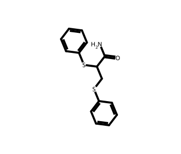 NC(=O)C(CSc1ccccc1)Sc1ccccc1